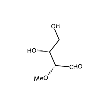 CO[C@@H](C=O)[C@H](O)CO